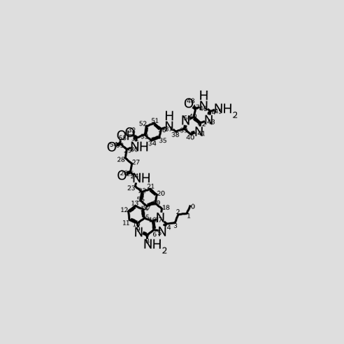 CCCCc1nc2c(N)nc3ccccc3c2n1Cc1ccc(CNC(=O)CCC(NC(=O)c2ccc(NCc3cnc4nc(N)[nH]c(=O)c4n3)cc2)C(=O)O)cc1